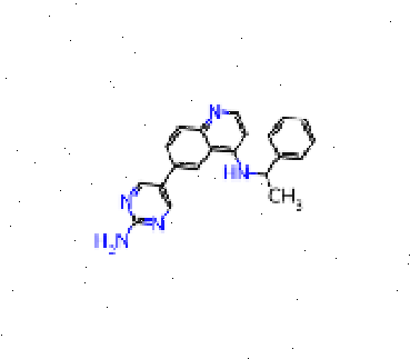 CC(Nc1ccnc2ccc(-c3cnc(N)nc3)cc12)c1ccccc1